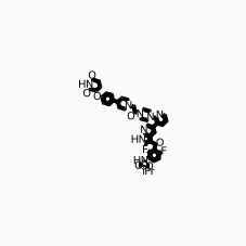 CC(C)S(=O)(=O)Nc1ccc(F)c(C(=O)c2c[nH]c3ncc(-c4cccnc4N4CCN(C(=O)CN5CCC(c6ccc(OC7CCC(=O)NC7=O)cc6)CC5)CC4)cc23)c1F